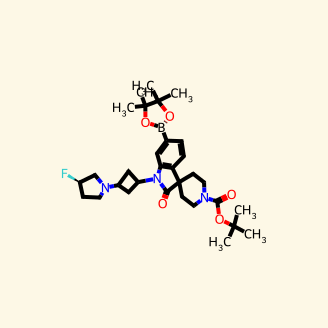 CC(C)(C)OC(=O)N1CCC2(CC1)C(=O)N(C1CC(N3CC[C@@H](F)C3)C1)c1cc(B3OC(C)(C)C(C)(C)O3)ccc12